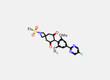 CCS(=O)(=O)N1CC2(CC(=O)C(c3c(C)cc(-c4ncc(F)cn4)cc3OC)C(=O)C2)C1